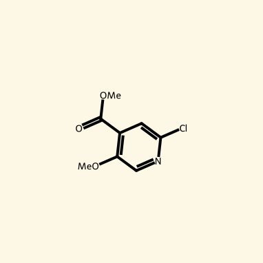 COC(=O)c1cc(Cl)ncc1OC